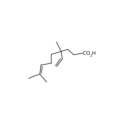 C=CC(C)(CCC=C(C)C)CCC(=O)O